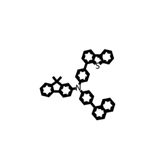 CC1(C)c2ccccc2-c2ccc(N(c3ccc(-c4cccc5ccccc45)cc3)c3ccc(-c4cccc5c4sc4ccccc45)cc3)cc21